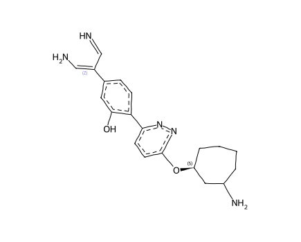 N=C/C(=C\N)c1ccc(-c2ccc(O[C@H]3CCCCC(N)C3)nn2)c(O)c1